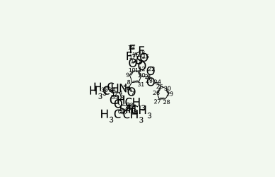 C[SiH](OC[C@H](NC(=O)c1ccc(OS(=O)(=O)C(F)(F)F)c(C(=O)OCc2ccccc2)c1)C(C)(C)C)C(C)(C)C